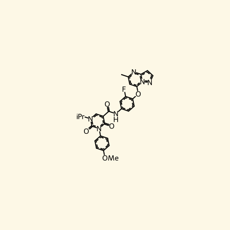 COc1ccc(-n2c(=O)c(C(=O)Nc3ccc(Oc4cc(C)nc5ccnn45)c(F)c3)cn(C(C)C)c2=O)cc1